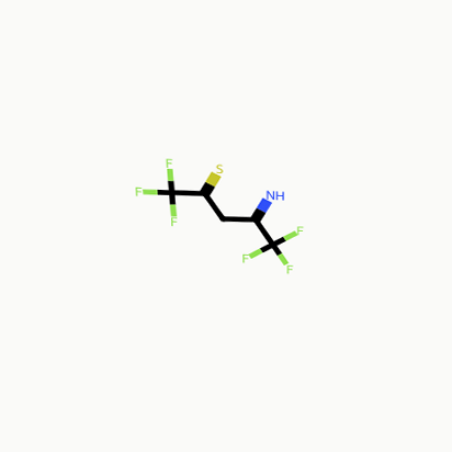 N=C(CC(=S)C(F)(F)F)C(F)(F)F